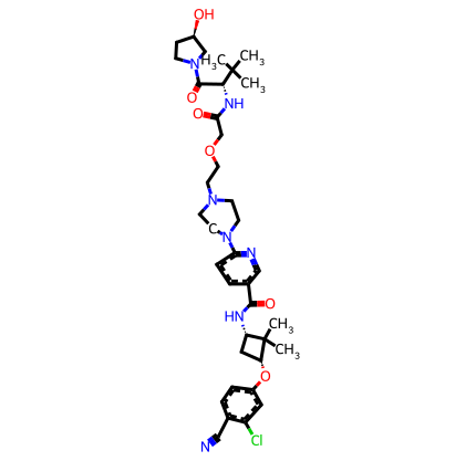 CC(C)(C)[C@H](NC(=O)COCCN1CCN(c2ccc(C(=O)N[C@H]3C[C@@H](Oc4ccc(C#N)c(Cl)c4)C3(C)C)cn2)CC1)C(=O)N1CC[C@@H](O)C1